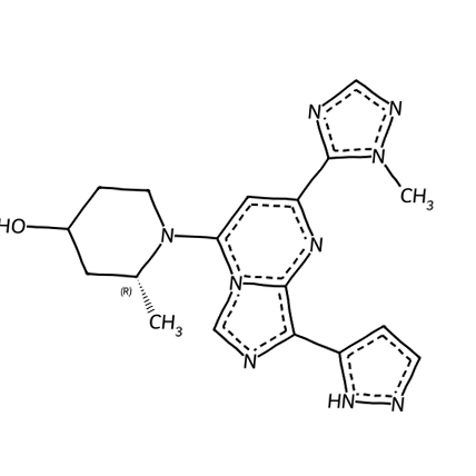 C[C@@H]1CC(O)CCN1c1cc(-c2ncnn2C)nc2c(-c3ccn[nH]3)ncn12